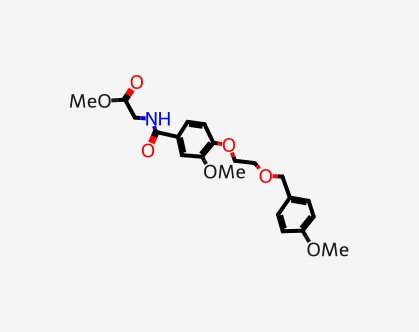 COC(=O)CNC(=O)c1ccc(OCCOCc2ccc(OC)cc2)c(OC)c1